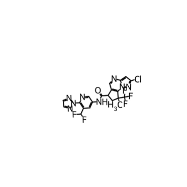 C[C@@]1(C(F)(F)F)CC(C(=O)Nc2cnc(-n3nccn3)c(C(F)F)c2)c2cnc3cc(Cl)nn3c21